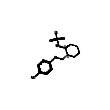 CCS(=O)(=O)N[C@H]1CCCC[C@@H]1COc1ccc(C#N)cc1